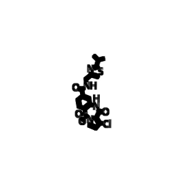 CC(C)c1nc(CNC(=O)c2ccc3c(c2)NC(=O)c2c(Cl)ccn2S3(=O)=O)cs1